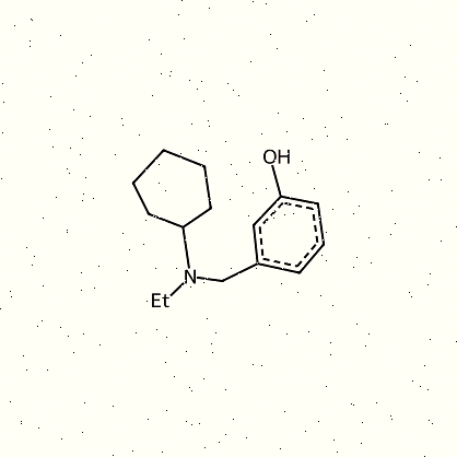 CCN(Cc1cccc(O)c1)C1CCCCC1